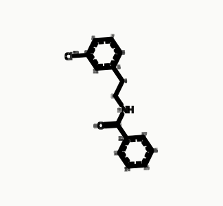 O=C(NCCc1cccc(Cl)c1)c1ccccc1